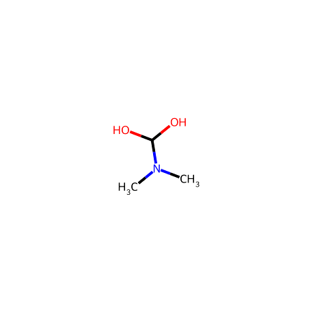 CN(C)C(O)O